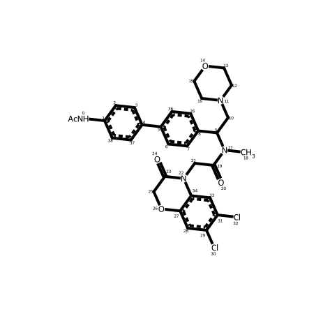 CC(=O)Nc1ccc(-c2ccc(C(CN3CCOCC3)N(C)C(=O)CN3C(=O)COc4cc(Cl)c(Cl)cc43)cc2)cc1